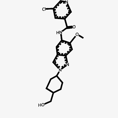 COc1cc2nn(C3CCC(CO)CC3)cc2cc1NC(=O)c1cncc(Cl)c1